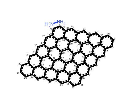 NN.c1cc2cc3cc4cc5ccc6cc7cc8cc9cccc%10cc%11cc%12cc%13ccc%14cc%15cc%16cc(c1)c2c1c3c2c4c3c5c6c4c7c5c8c(c9%10)c%11c6c%12c7c%13c%14c8c%15c(c%161)c2c1c3c4c(c56)c7c81